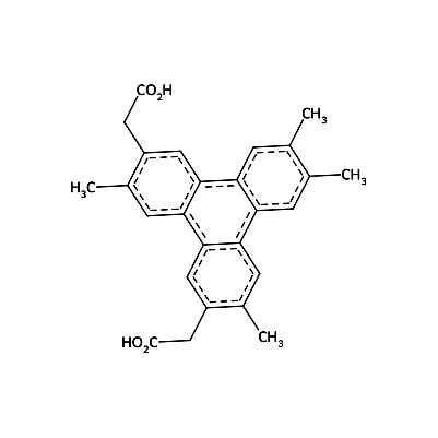 Cc1cc2c(cc1C)c1cc(CC(=O)O)c(C)cc1c1cc(CC(=O)O)c(C)cc21